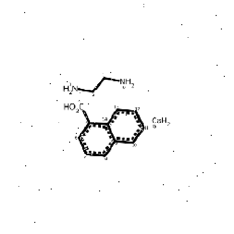 NCCN.O=C(O)c1cccc2ccccc12.[CaH2]